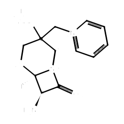 N[C@@H]1C(=O)N2CC(C[n+]3ccccc3)(C(=O)[O-])CS[C@H]12.O